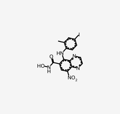 Cc1cc(I)ccc1Nc1c(C(=O)NO)cc([N+](=O)[O-])c2nccnc12